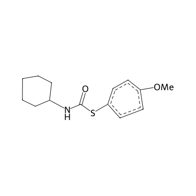 COc1ccc(SC(=O)NC2CCCCC2)cc1